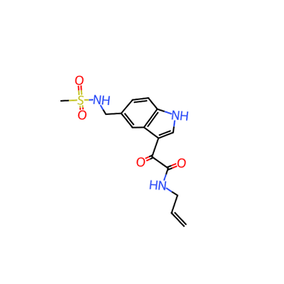 C=CCNC(=O)C(=O)c1c[nH]c2ccc(CNS(C)(=O)=O)cc12